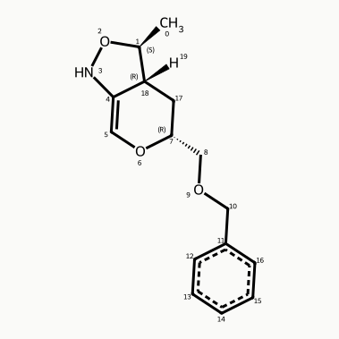 C[C@@H]1ONC2=CO[C@@H](COCc3ccccc3)C[C@H]21